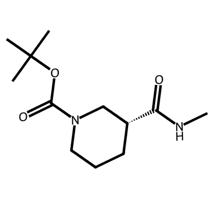 CNC(=O)[C@@H]1CCCN(C(=O)OC(C)(C)C)C1